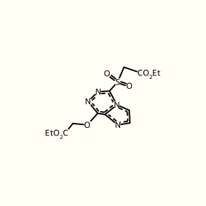 CCOC(=O)COc1nnc(S(=O)(=O)CC(=O)OCC)n2ccnc12